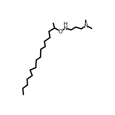 CCCCCCCCCCCCCCC(C)ONCCCN(C)C